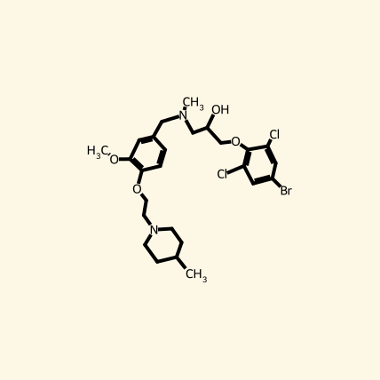 COc1cc(CN(C)CC(O)COc2c(Cl)cc(Br)cc2Cl)ccc1OCCN1CCC(C)CC1